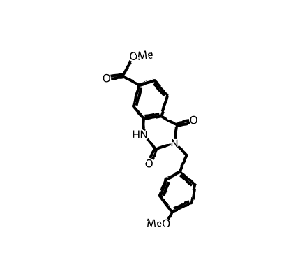 COC(=O)c1ccc2c(=O)n(Cc3ccc(OC)cc3)c(=O)[nH]c2c1